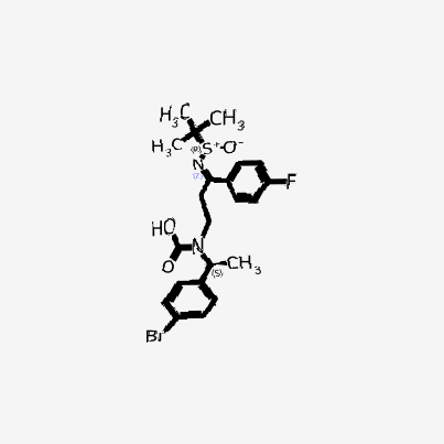 C[C@@H](c1ccc(Br)cc1)N(CC/C(=N/[S@@+]([O-])C(C)(C)C)c1ccc(F)cc1)C(=O)O